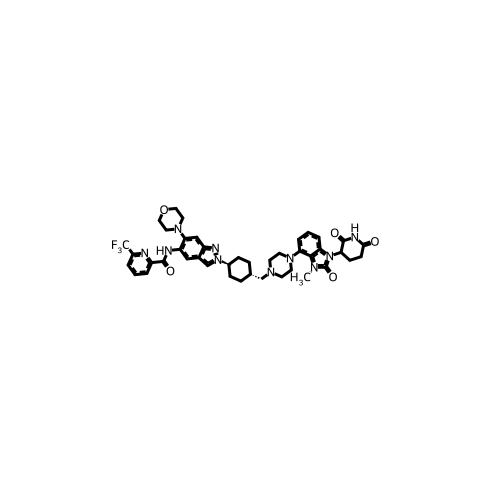 Cn1c(=O)n(C2CCC(=O)NC2=O)c2cccc(N3CCN(C[C@H]4CC[C@H](n5cc6cc(NC(=O)c7cccc(C(F)(F)F)n7)c(N7CCOCC7)cc6n5)CC4)CC3)c21